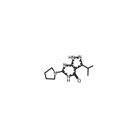 CC(C)c1n[nH]c2nc(N3CCCC3)[nH]c(=O)c12